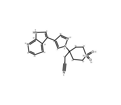 N#CCC1(n2cc(-c3c[nH]c4ncccc34)cn2)CCS(=O)(=O)CC1